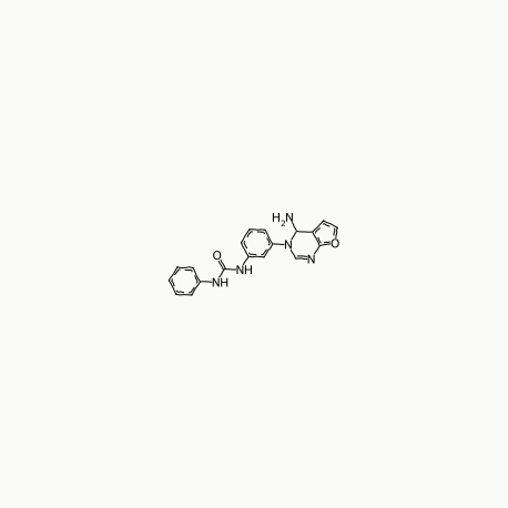 NC1c2ccoc2N=CN1c1cccc(NC(=O)Nc2ccccc2)c1